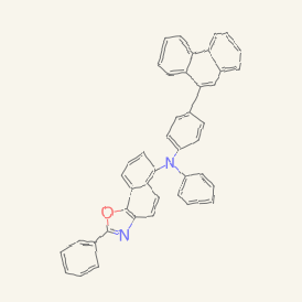 c1ccc(-c2nc3ccc4c(N(c5ccccc5)c5ccc(-c6cc7ccccc7c7ccccc67)cc5)cccc4c3o2)cc1